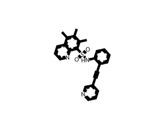 Cc1c(C)c(S(=O)(=O)Nc2ccccc2C#Cc2cccnc2)c2ncccc2c1C